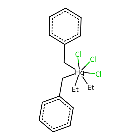 C[CH2][Hg]([Cl])([Cl])([Cl])([CH2]C)([CH2]c1ccccc1)[CH2]c1ccccc1